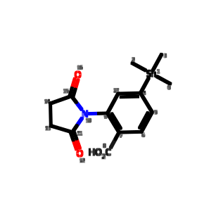 [CH3][Sn]([CH3])([CH3])[c]1ccc(C(=O)O)c(N2C(=O)CCC2=O)c1